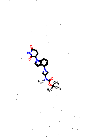 CN(C(=O)OC(C)(C)C)C1CN(c2cccc3c2ccn3C2CCC(=O)NC2=O)C1